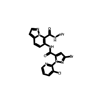 CCCNC(=O)c1c(NC(=O)c2cc(Br)nn2-c2ncccc2Cl)ccc2ccnn12